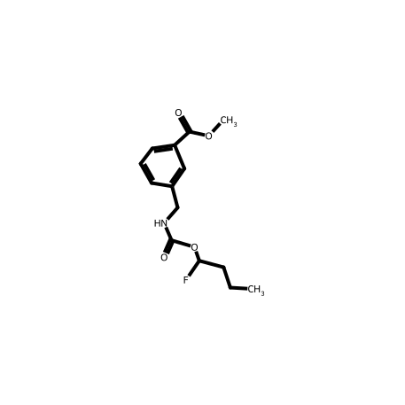 CCCC(F)OC(=O)NCc1cccc(C(=O)OC)c1